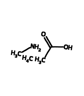 C.CC(=O)O.CN